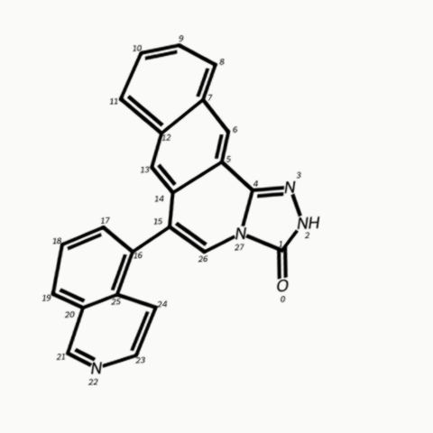 O=c1[nH]nc2c3cc4ccccc4cc3c(-c3cccc4cnccc34)cn12